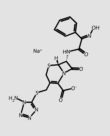 Nn1nnnc1SCC1=C(C(=O)[O-])N2C(=O)[C@@H](NC(=O)/C(=N/O)c3ccccc3)[C@H]2SC1.[Na+]